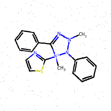 CN1N=C(c2ccccc2)[N+](C)(c2nccs2)N1c1ccccc1